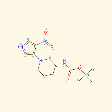 CC(C)(C)OC(=O)N[C@@H]1CCCN(c2c[nH]cc2[N+](=O)[O-])C1